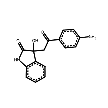 Nc1ccc(C(=O)CC2(O)C(=O)Nc3ccccc32)cc1